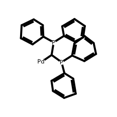 [Pd][CH](P(c1ccccc1)c1ccccc1)P(c1ccccc1)c1ccccc1